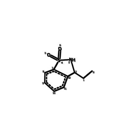 CCC1NS(=O)(=O)c2ccccc21